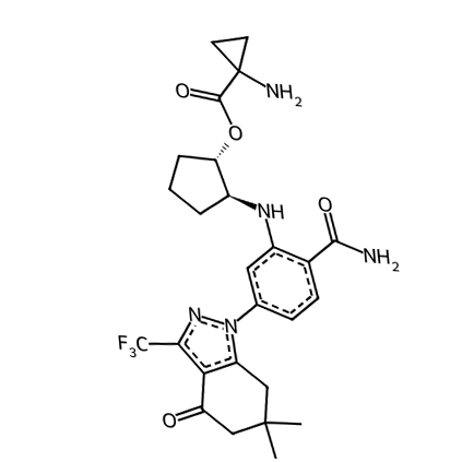 CC1(C)CC(=O)c2c(C(F)(F)F)nn(-c3ccc(C(N)=O)c(N[C@H]4CCC[C@@H]4OC(=O)C4(N)CC4)c3)c2C1